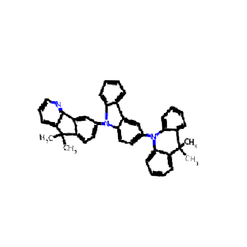 CC1(C)c2ccccc2N(c2ccc3c(c2)c2ccccc2n3-c2ccc3c(c2)-c2ncccc2C3(C)C)c2ccccc21